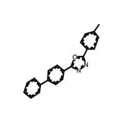 Cc1ccc(-c2nnc(-c3ccc(-c4ccccc4)cc3)o2)cc1